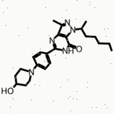 CCCCCC(C)n1nc(C)c2nc(-c3ccc(N4CCC(O)CC4)cc3)[nH]c(=O)c21